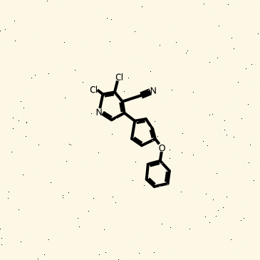 N#Cc1c(-c2ccc(Oc3ccccc3)cc2)cnc(Cl)c1Cl